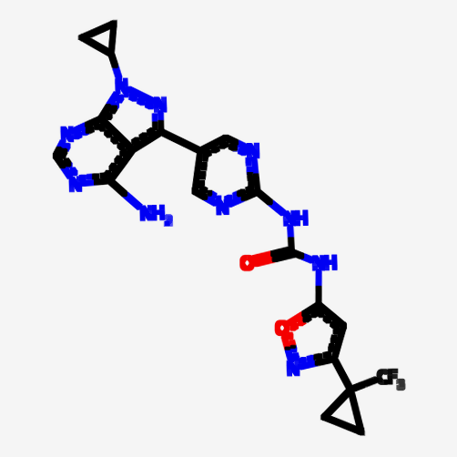 Nc1ncnc2c1c(-c1cnc(NC(=O)Nc3cc(C4(C(F)(F)F)CC4)no3)nc1)nn2C1CC1